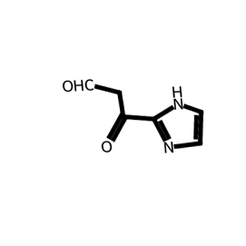 O=CCC(=O)c1ncc[nH]1